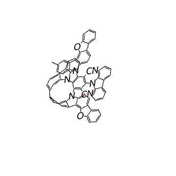 Cc1ccc2c(c1)c1c3oc4ccccc4c3ccc1n2-c1c(C#N)c(-n2c3ccccc3c3ccccc32)c(C#N)c2c1-n1c3ccccc3c3ccc(cc31)-c1ccc3c(c1)c1c4oc5ccccc5c4ccc1n3-2